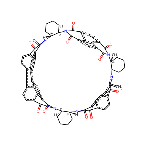 C=c1c2ccc3c4c5ccc(c(=O)n1C1CCCC[C@@]1(C)N1C(=O)c6ccc7c8c(ccc(c68)C1=O)C(=O)N(C7=O)[C@@H]1CCCC[C@H]1N1C(=O)c6ccc7c8ccc9c%10c(ccc(c%11ccc(c6c7%11)C1=O)c%108)C(=O)N(C9=O)[C@@H]1CCCC[C@H]1N(C3=O)C5=O)c42